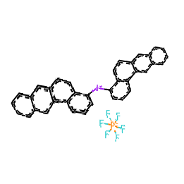 F[P-](F)(F)(F)(F)F.c1ccc2cc3c(ccc4c([I+]c5cccc6c5ccc5cc7ccccc7cc56)cccc43)cc2c1